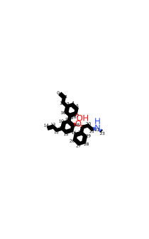 C=CCc1ccc(O)c(-c2cc(CC=C)ccc2OC(CCNC)c2ccccc2)c1